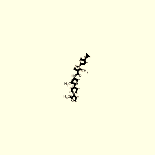 Cc1cc(NC(=O)c2cnn(-c3ccc(C4CC4)cn3)c2C)cnc1C1=CCN(C2CCOC2C)CC1